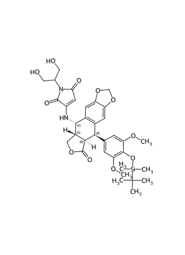 COc1cc([C@@H]2c3cc4c(cc3[C@@H](NC3=CC(=O)N(C(CO)CO)C3=O)[C@H]3COC(=O)[C@H]23)OCO4)cc(OC)c1O[Si](C)(C)C(C)(C)C